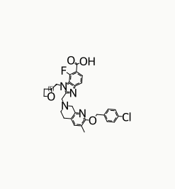 Cc1cc2c(nc1OCc1ccc(Cl)cc1)CN(Cc1nc3ccc(C(=O)O)c(F)c3n1C[C@@H]1CCO1)CC2